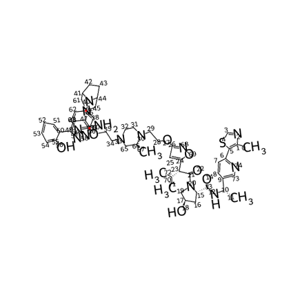 Cc1ncsc1-c1ccc([C@H](C)NC(=O)[C@@H]2C[C@@H](O)CN2C(=O)[C@@H](c2cc(OCCN3CCN(CCOc4cc(N5C6CCC5CN(c5cc(-c7ccccc7O)nnc5N)C6)ccn4)C[C@@H]3C)no2)C(C)C)cn1